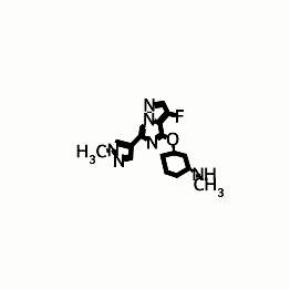 CN[C@H]1CCC[C@@H](Oc2nc(-c3cnn(C)c3)cn3ncc(F)c23)C1